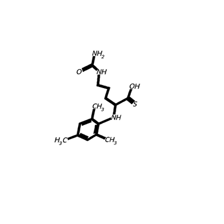 Cc1cc(C)c(NC(CCCNC(N)=O)C(O)=S)c(C)c1